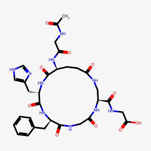 CC(=O)NCC(=O)N[C@H]1CCC(=O)NC[C@@H](C(=O)NCC(=O)O)NC(=O)CNC(=O)[C@@H](Cc2ccccc2)NC(=O)[C@H](Cc2c[nH]cn2)NC1=O